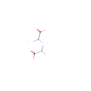 CC(NC(C)C(=O)O)C(=O)O